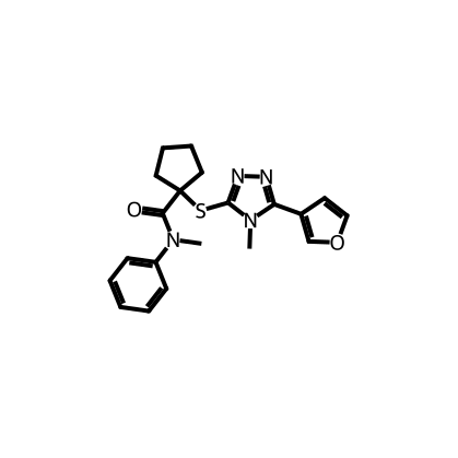 CN(C(=O)C1(Sc2nnc(-c3ccoc3)n2C)CCCC1)c1ccccc1